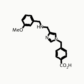 COc1cccc(CNCc2cn(Cc3ccc(C(=O)O)cc3)cn2)c1